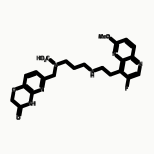 COc1ccc2ncc(F)c(CCNCCCN(Cc3ccc4c(n3)NC(=O)CO4)C(=O)O)c2n1